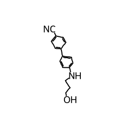 N#Cc1ccc(-c2ccc(NCCCO)cc2)cc1